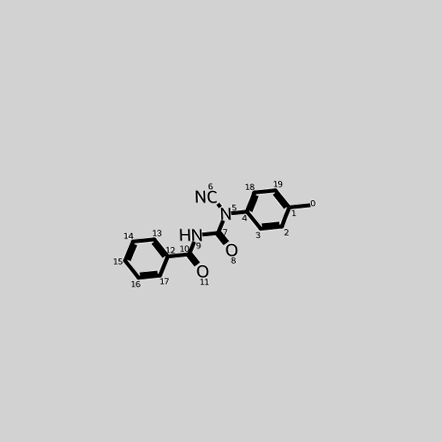 Cc1ccc(N(C#N)C(=O)NC(=O)c2ccccc2)cc1